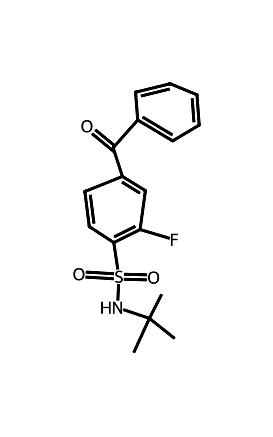 CC(C)(C)NS(=O)(=O)c1ccc(C(=O)c2ccccc2)cc1F